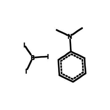 CN(C)c1ccccc1.IB(I)I